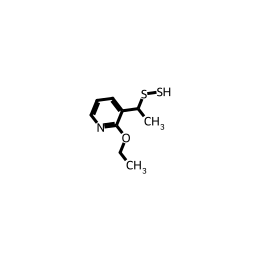 CCOc1ncccc1C(C)SS